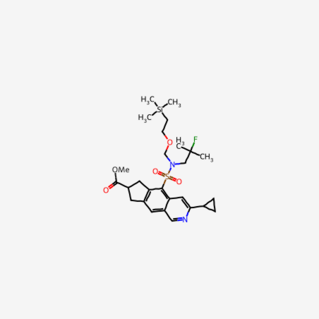 COC(=O)C1Cc2cc3cnc(C4CC4)cc3c(S(=O)(=O)N(COCC[Si](C)(C)C)CC(C)(C)F)c2C1